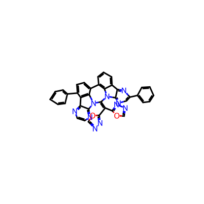 c1ccc(-c2cnc3c(n2)c2cccc4c5ccc(-c6ccccc6)c6c7nccnc7n(c(=C(c7nnco7)c7nnco7)n3c42)c56)cc1